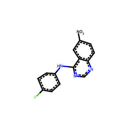 O=[N+]([O-])c1ccc2ncnc(Nc3ccc(F)cc3)c2c1